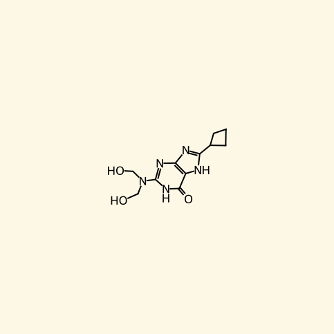 O=c1[nH]c(N(CO)CO)nc2nc(C3CCC3)[nH]c12